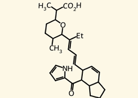 CC/C(=C\C=C\C1C=CC2CCCC2C1C(=O)c1ccc[nH]1)C1OC(C(C)C(=O)O)CCC1C